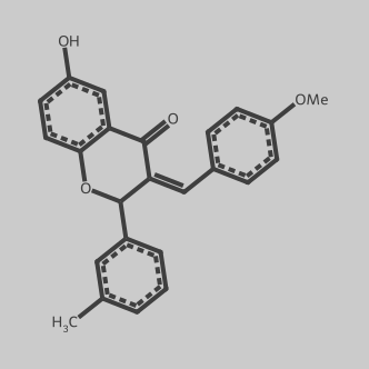 COc1ccc(C=C2C(=O)c3cc(O)ccc3OC2c2cccc(C)c2)cc1